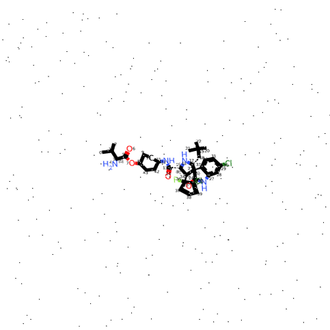 CC(C)[C@H](N)C(=O)OC1CCC(NC(=O)[C@@H]2N[C@H](CC(C)(C)C)[C@]3(C(=O)Nc4cc(Cl)ccc43)[C@H]2C2(F)C=CC=C2Cl)CC1